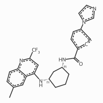 Cc1ccc2nc(C(F)(F)F)cc(N[C@H]3CCC[C@@H](NC(=O)c4ccc(-n5ccnc5)cc4)C3)c2c1